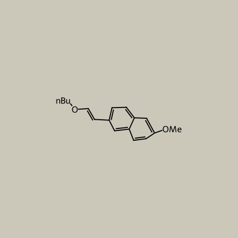 CCCCOC=Cc1ccc2cc(OC)ccc2c1